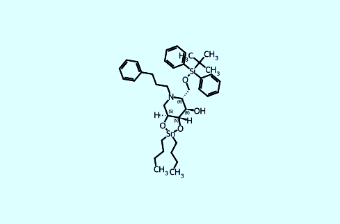 CCC[CH2][Sn]1([CH2]CCC)[O][C@H]2[C@H](O)[C@@H](CO[Si](c3ccccc3)(c3ccccc3)C(C)(C)C)N(CCCc3ccccc3)C[C@@H]2[O]1